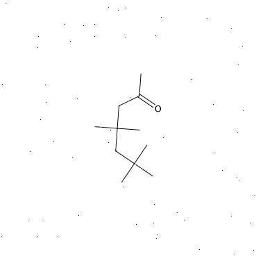 CC(=O)CC(C)(C)CC(C)(C)C